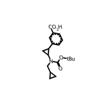 CC(C)(C)OC(=O)N(CC1CC1)C1CC1c1cccc(C(=O)O)c1